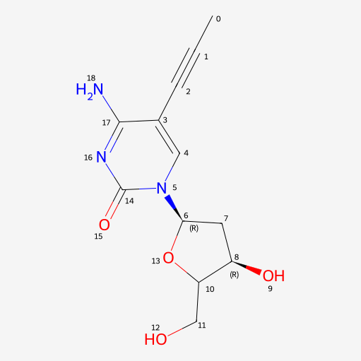 CC#Cc1cn([C@H]2C[C@@H](O)C(CO)O2)c(=O)nc1N